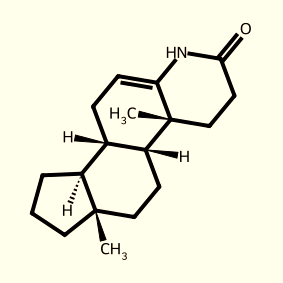 C[C@@]12CCC[C@H]1[C@@H]1CC=C3NC(=O)CC[C@]3(C)[C@@H]1CC2